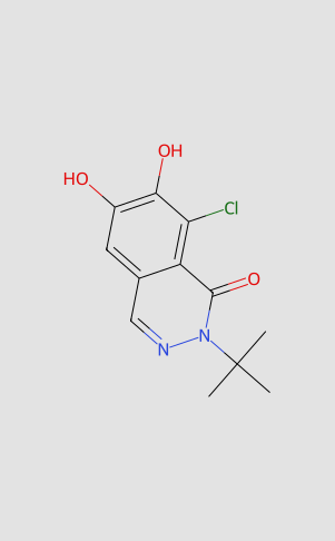 CC(C)(C)n1ncc2cc(O)c(O)c(Cl)c2c1=O